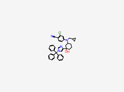 N#Cc1ccc(N(CC2CC2)C2CCCC(O)(c3cn(C(c4ccccc4)(c4ccccc4)c4ccccc4)cn3)C2)cc1Cl